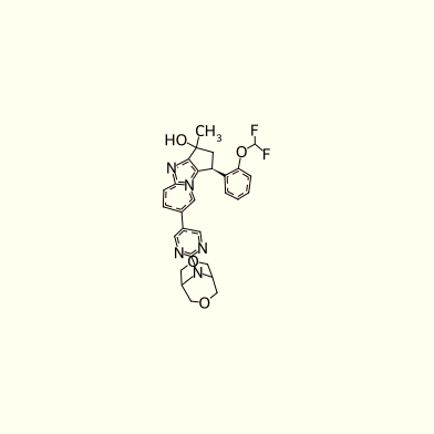 CC1(O)C[C@@H](c2ccccc2OC(F)F)c2c1nc1ccc(-c3cnc(N4C5COCC4COC5)nc3)cn21